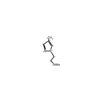 CNCCn1cc(C)cn1